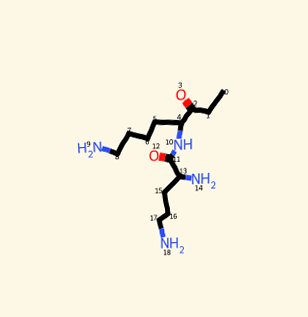 CCC(=O)C(CCCCN)NC(=O)C(N)CCCN